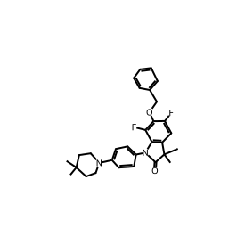 CC1(C)CCN(c2ccc(N3C(=O)C(C)(C)c4cc(F)c(OCc5ccccc5)c(F)c43)cc2)CC1